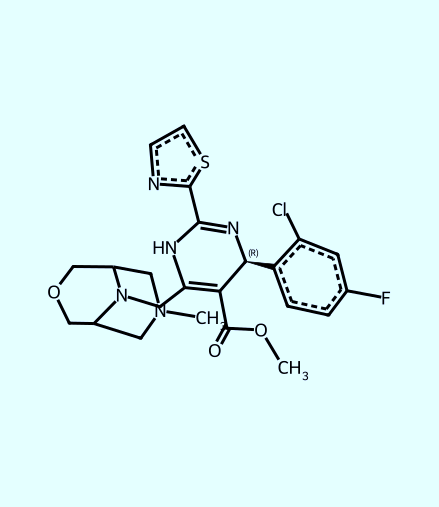 COC(=O)C1=C(CN2C3COCC2CN(C)C3)NC(c2nccs2)=N[C@H]1c1ccc(F)cc1Cl